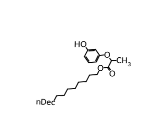 CCCCCCCCCCCCCCCCCCOC(=O)C(C)Oc1cccc(O)c1